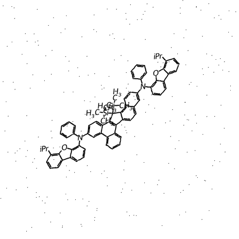 CC(C)c1cccc2c1oc1c(N(c3ccccc3)c3ccc4c5c(ccc4c3)-c3c(c4ccc(N(c6ccccc6)c6cccc7c6oc6c(C(C)C)cccc67)cc4c4ccccc34)C5([Si](C)(C)C)[Si](C)(C)C)cccc12